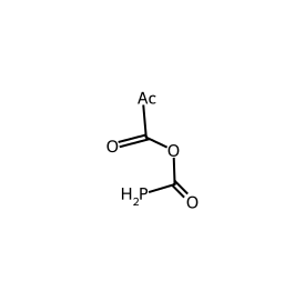 CC(=O)C(=O)OC(=O)P